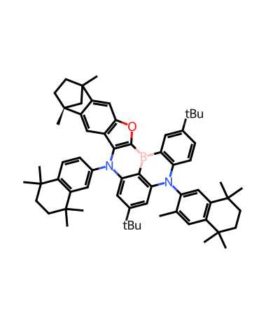 Cc1cc2c(cc1N1c3ccc(C(C)(C)C)cc3B3c4oc5cc6c(cc5c4N(c4ccc5c(c4)C(C)(C)CCC5(C)C)c4cc(C(C)(C)C)cc1c43)[C@]1(C)CCC6(C)C1)C(C)(C)CCC2(C)C